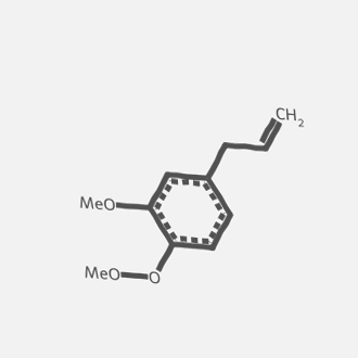 C=CCc1ccc(OOC)c(OC)c1